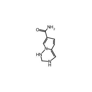 NC(=O)C1=CN2NCNC=C2C=C1